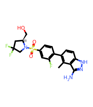 Cc1c(-c2ccc(S(=O)(=O)N3CC(F)(F)C[C@H]3CO)cc2F)ccc2[nH]nc(N)c12